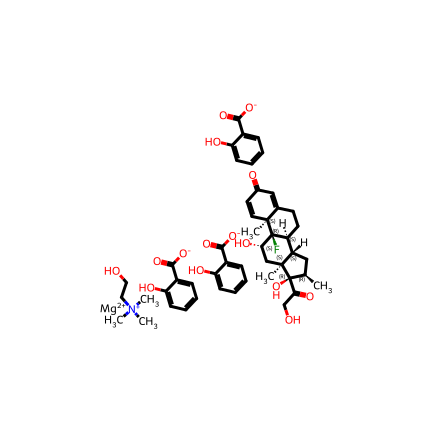 C[C@@H]1C[C@H]2[C@@H]3CCC4=CC(=O)C=C[C@]4(C)[C@@]3(F)[C@@H](O)C[C@]2(C)[C@@]1(O)C(=O)CO.C[N+](C)(C)CCO.O=C([O-])c1ccccc1O.O=C([O-])c1ccccc1O.O=C([O-])c1ccccc1O.[Mg+2]